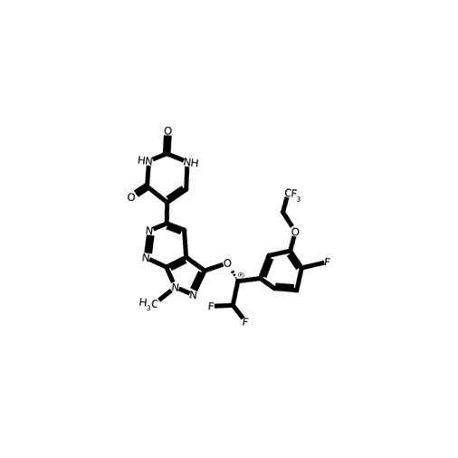 Cn1nc(O[C@H](c2ccc(F)c(OCC(F)(F)F)c2)C(F)F)c2cc(-c3c[nH]c(=O)[nH]c3=O)nnc21